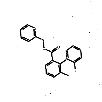 Cc1cccc(C(=O)OCc2ccccc2)c1-c1ccccc1I